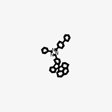 c1ccc(-c2ccc(-c3nc(-c4ccccc4)nc(-c4ccc5c(c4)-c4ccccc4C54c5cccc6ccc7cccc4c7c56)n3)cc2)cc1